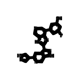 Oc1cc(F)cc(-c2cncc3[nH]c(-c4n[nH]c5cnc(-c6cn[nH]c6)cc45)nc23)c1